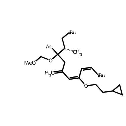 C=C(/C=C(\C=C/C(C)CC)OCCC1CC1)CC(OCOC)(C(C)=O)[C@@H](C)CC(C)CC